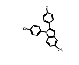 Cc1ccc2c(c1)cc(-c1ccc(Cl)cc1)n2-c1ccc(O)cc1